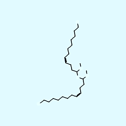 COC(CC/C=C\CCCCCCCCl)OC(CC/C=C\CCCCCCCCl)OC